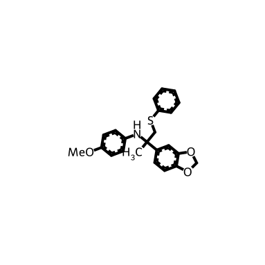 COc1ccc(NC(C)(CSc2ccccc2)c2ccc3c(c2)OCO3)cc1